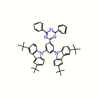 CC(C)(C)c1ccc2c(c1)c1cc(C(C)(C)C)ccc1n2-c1cc(-c2nc(-c3ccccc3)nc(-c3ccccc3)n2)cc(-n2c3ccc(C(C)(C)C)cc3c3cc(C(C)(C)C)ccc32)c1